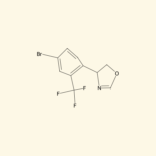 FC(F)(F)c1cc(Br)ccc1C1CO[C]=N1